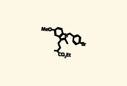 CCOC(=O)C(C)CCc1c(C)n(Cc2ccc(Br)cc2)c2ccc(OC)cc12